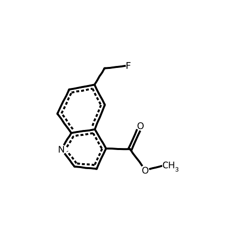 COC(=O)c1ccnc2ccc(CF)cc12